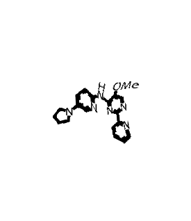 COc1cnc(-c2ccccn2)nc1Nc1ccc(N2CCCC2)cn1